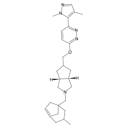 Cc1cnn(C)c1-c1ccc(OCC2C[C@@H]3CN(CC45CC=C(CC(C)C4)C5)C[C@@H]3C2)nn1